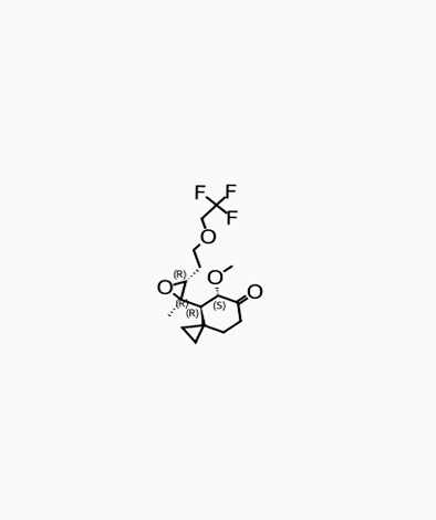 CO[C@@H]1C(=O)CCC2(CC2)[C@H]1[C@@]1(C)O[C@@H]1CCOCC(F)(F)F